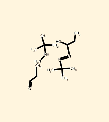 CC(C)(C)NN.CCC(O)N=NC(C)(C)C.CCC=O